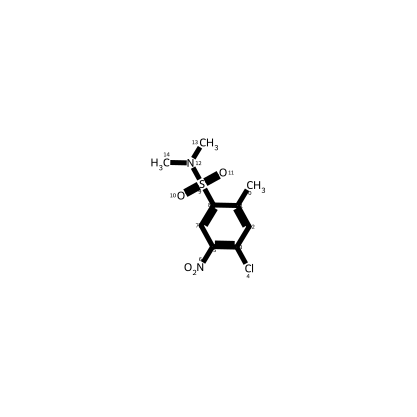 Cc1cc(Cl)c([N+](=O)[O-])cc1S(=O)(=O)N(C)C